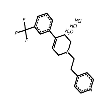 Cl.Cl.FC(F)(F)c1cccc(C2=CCN(CCc3ccncc3)CC2)c1.O